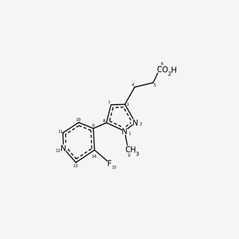 Cn1nc(CCC(=O)O)cc1-c1ccncc1F